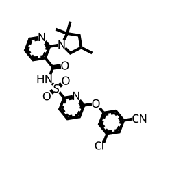 CC1CN(c2ncccc2C(=O)NS(=O)(=O)c2cccc(Oc3cc(Cl)cc(C#N)c3)n2)C(C)(C)C1